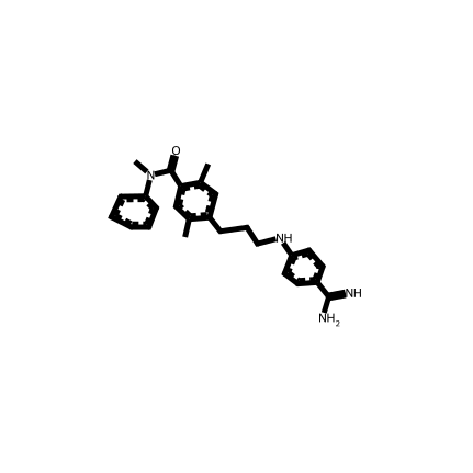 Cc1cc(C(=O)N(C)c2ccccc2)c(C)cc1CCCNc1ccc(C(=N)N)cc1